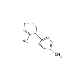 Cc1ccc(C2CCCC=C2C#N)cc1